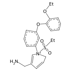 CCOc1ccccc1Oc1cccc([N+]2(S(=O)(=O)CC)C=C(CN)C=CC2)c1